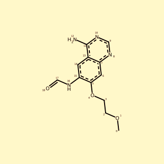 COCCOc1cc2ncnc(N)c2cc1NC=O